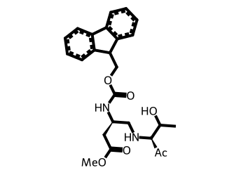 COC(=O)C[C@H](CN[C@H](C(C)=O)C(C)O)NC(=O)OCC1c2ccccc2-c2ccccc21